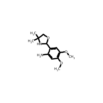 COc1cc(N)c(C2NC(C)(C)CO2)cc1OC